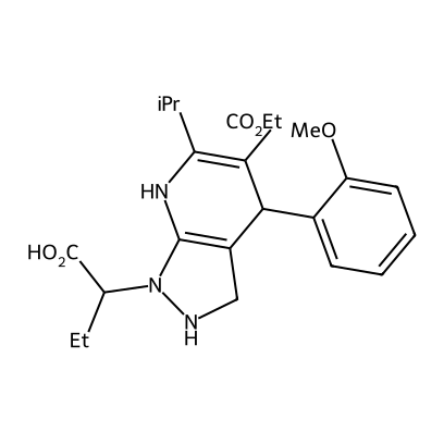 CCOC(=O)C1=C(C(C)C)NC2=C(CNN2C(CC)C(=O)O)C1c1ccccc1OC